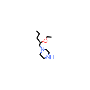 CCCC(CN1CCNCC1)OCC